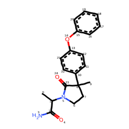 CC(C(N)=O)N1CCC(C)(c2ccc(Oc3ccccc3)cc2)C1=O